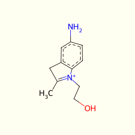 CC1=[N+](CCO)c2ccc(N)cc2C1